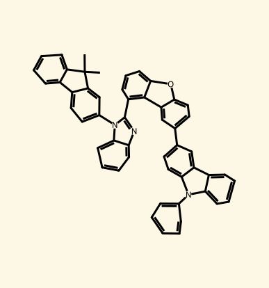 CC1(C)c2ccccc2-c2ccc(-n3c(-c4cccc5oc6ccc(-c7ccc8c(c7)c7ccccc7n8-c7ccccc7)cc6c45)nc4ccccc43)cc21